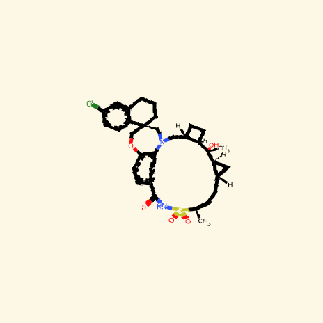 C[C@@H]1CC[C@H]2C[C@@H]2[C@@](C)(O)[C@@H]2CC[C@H]2CN2C[C@@]3(CCCc4cc(Cl)ccc43)COc3ccc(cc32)C(=O)NS1(=O)=O